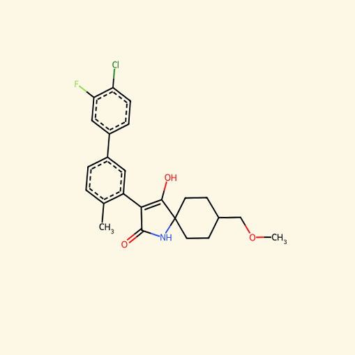 COCC1CCC2(CC1)NC(=O)C(c1cc(-c3ccc(Cl)c(F)c3)ccc1C)=C2O